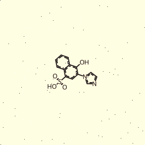 O=S(=O)(O)c1cc(-n2ccnc2)c(O)c2ccccc12